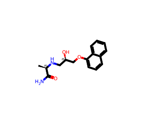 C[C@@H](NC[C@@H](O)COc1cccc2ccccc12)C(N)=O